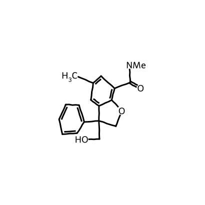 CNC(=O)c1cc(C)cc2c1OCC2(CO)c1ccccc1